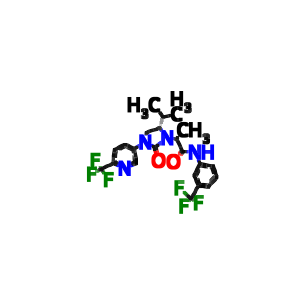 CC(C)[C@H]1CN(c2ccc(C(F)(F)F)nc2)C(=O)N1C(C)C(=O)Nc1cccc(C(F)(F)F)c1